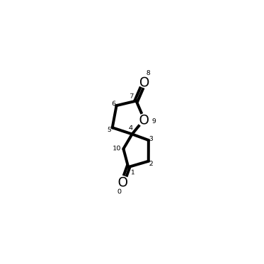 O=C1CCC2(CCC(=O)O2)C1